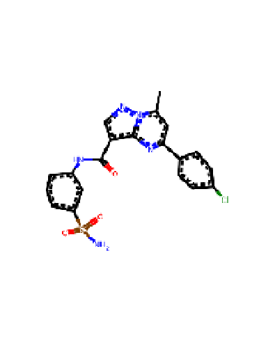 Cc1cc(-c2ccc(Cl)cc2)nc2c(C(=O)Nc3cccc(S(N)(=O)=O)c3)cnn12